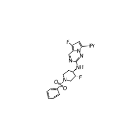 CC(C)c1cc(F)c2cnc(N[C@@H]3CCN(S(=O)(=O)c4ccccc4)C[C@H]3F)nn12